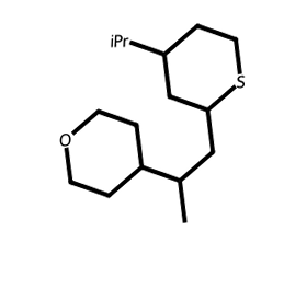 CC(C)C1CCSC(CC(C)C2CCOCC2)C1